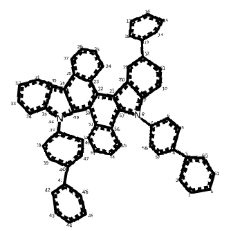 c1ccc(-c2ccc(-n3c4ccc(-c5ccccc5)cc4c4c5c6ccccc6c6c7ccccc7n(-c7ccc(-c8ccccc8)cc7)c6c5c5ccccc5c43)cc2)cc1